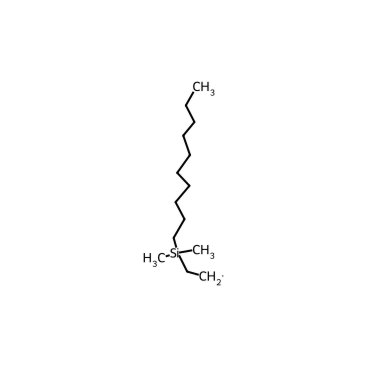 [CH2]C[Si](C)(C)CCCCCCCCCC